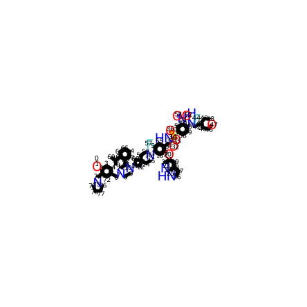 COc1ccc(CN2CCN(C3CC4(CCN(c5cc(Oc6cnc7[nH]ccc7c6)c(C(=O)NS(=O)(=O)c6ccc(NCC7(F)CCOCC7)c([N+](=O)[O-])c6)cc5F)CC4)C3)C(c3ccccc3C(C)C)C2)cc1CN1CCCC1